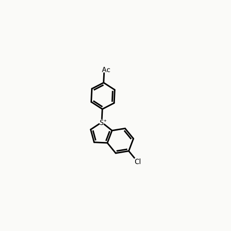 CC(=O)c1ccc(-[s+]2ccc3cc(Cl)ccc32)cc1